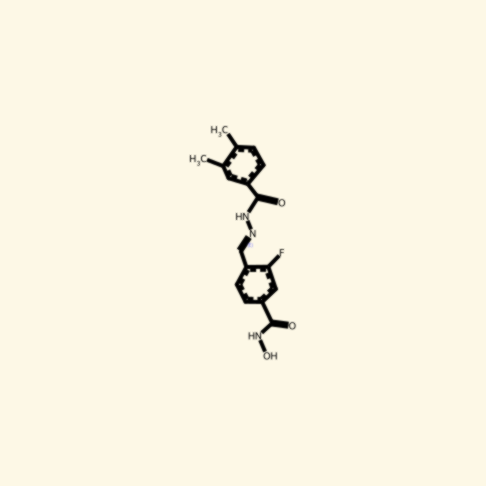 Cc1ccc(C(=O)N/N=C/c2ccc(C(=O)NO)cc2F)cc1C